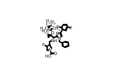 CC(C)(C)[Si](C)(C)OC1([C@@H](NCC2CN(C(=O)O)CC2F)c2nc(-c3cc(F)ccc3F)cn2Cc2ccccc2)CC1